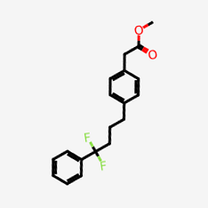 COC(=O)Cc1ccc(CCCC(F)(F)c2ccccc2)cc1